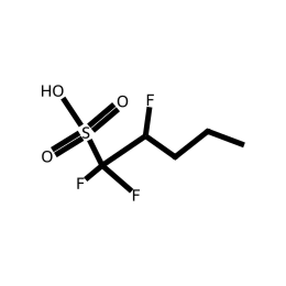 CCCC(F)C(F)(F)S(=O)(=O)O